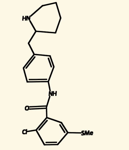 CSc1ccc(Cl)c(C(=O)Nc2ccc(CC3CCCCN3)cc2)c1